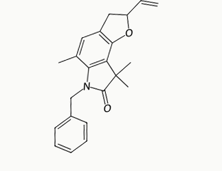 C=CC1Cc2cc(C)c3c(c2O1)C(C)(C)C(=O)N3Cc1ccccc1